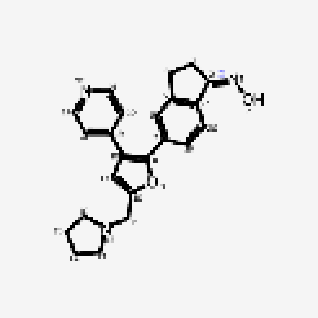 O/N=C1/CCc2cc(-c3oc(CN4CCCC4)cc3-c3ccncc3)ccc21